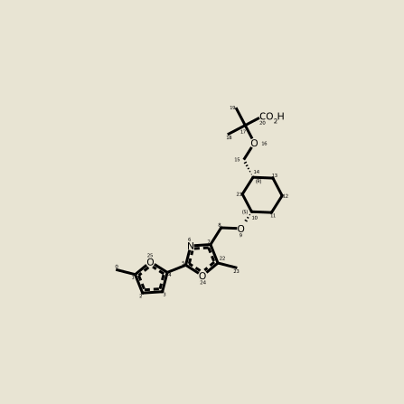 Cc1ccc(-c2nc(CO[C@H]3CCC[C@@H](COC(C)(C)C(=O)O)C3)c(C)o2)o1